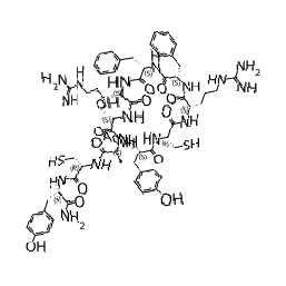 CC(=O)N[C@@H](Cc1ccc(O)cc1)C(=O)N[C@@H](CS)C(=O)N[C@@H](CCCNC(=N)N)C(=O)N[C@@H](Cc1ccccc1)C(=O)N[C@@H](Cc1ccccc1)C(=O)N[C@@H](CCCNC(=N)N)C(=O)N[C@@H](CO)C(=O)N[C@@H](C)C(=O)N[C@@H](CS)C(=O)N[C@@H](Cc1ccc(O)cc1)C(N)=O